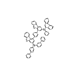 c1ccc(-c2ccc(N(c3cccc(-c4ccccc4)c3)c3cc(-c4ccc(-c5cc(N(c6ccccc6)c6cc7ccccc7c7ccccc67)cc6c5sc5ccccc56)cc4)c4c(c3)sc3ccccc34)cc2)cc1